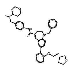 C1CCOC1.CCOc1ccccc1-c1ccc2c(c1)C=C(C(=O)Nc1ccc(CN(C)C3CCOCC3)cc1)CCN2Cc1ccccc1